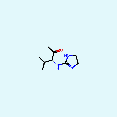 CC(=O)[C@H](NC1=NCCN1)C(C)C